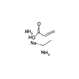 C=CC(=O)O.N.N.[CH2][CH2][Na]